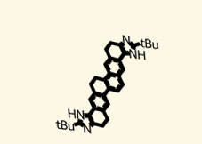 CC(C)(C)c1nc2c([nH]1)-c1cc3c(cc1CC2)-c1ccc2cc4c(cc2c1CC3)CCc1nc(C(C)(C)C)[nH]c1-4